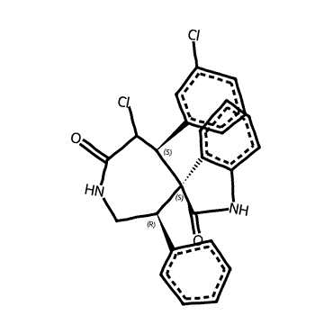 O=C1NC[C@H](c2ccccc2)[C@]2(C(=O)Nc3ccccc32)[C@H](c2cccc(Cl)c2)C1Cl